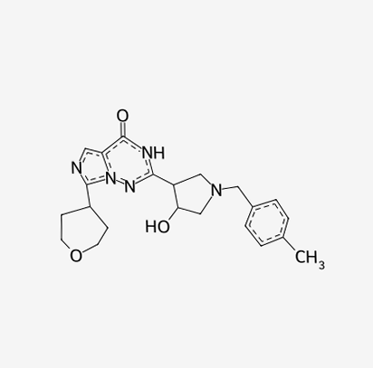 Cc1ccc(CN2CC(O)C(c3nn4c(C5CCOCC5)ncc4c(=O)[nH]3)C2)cc1